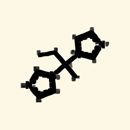 [CH2]C(CC)(n1ccnc1)n1ccnc1